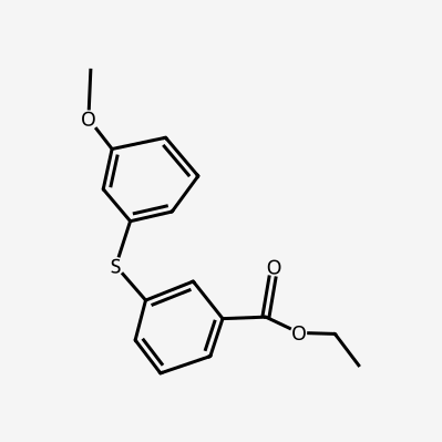 CCOC(=O)c1cccc(Sc2cccc(OC)c2)c1